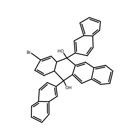 OC1(c2ccc3ccccc3c2)c2cc3ccccc3cc2C(O)(c2ccc3ccccc3c2)C2C=C(Br)C=CC21